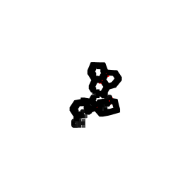 C[C@H](CN1C2CCC1CC(c1cccc(O)c1)C2)N(Cc1ccccc1)C(=O)C1CCCCC1